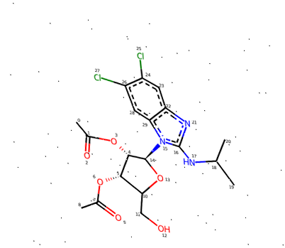 CC(=O)O[C@H]1[C@@H](OC(C)=O)C(CO)O[C@@H]1n1c(NC(C)C)nc2cc(Cl)c(Cl)cc21